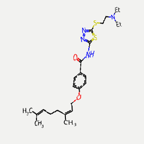 CCN(CC)CCSc1nnc(NC(=O)c2ccc(OCC=C(C)CCC=C(C)C)cc2)s1